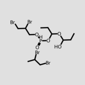 CC(Br)CBr.CCC(O)OC(CC)O[PH](=O)OCC(Br)CBr